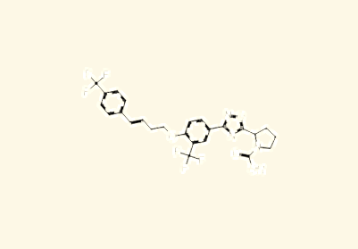 O=C(O)N1CCCC1c1nc(-c2ccc(OCCC=Cc3ccc(C(F)(F)F)cc3)c(C(F)(F)F)c2)no1